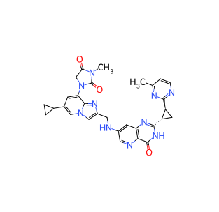 Cc1ccnc([C@H]2C[C@@H]2c2nc3cc(NCc4cn5cc(C6CC6)cc(N6CC(=O)N(C)C6=O)c5n4)cnc3c(=O)[nH]2)n1